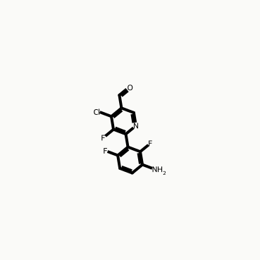 Nc1ccc(F)c(-c2ncc(C=O)c(Cl)c2F)c1F